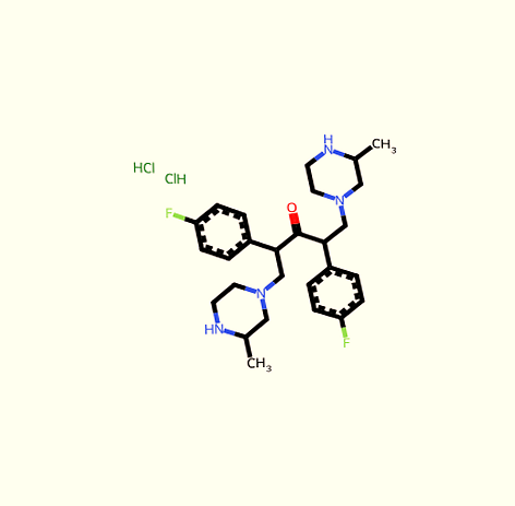 CC1CN(CC(C(=O)C(CN2CCNC(C)C2)c2ccc(F)cc2)c2ccc(F)cc2)CCN1.Cl.Cl